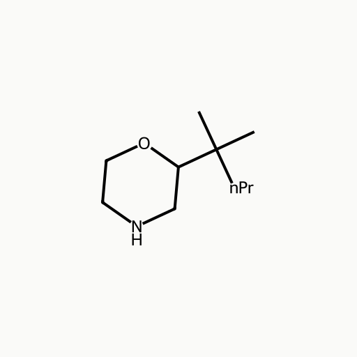 CCCC(C)(C)C1CNCCO1